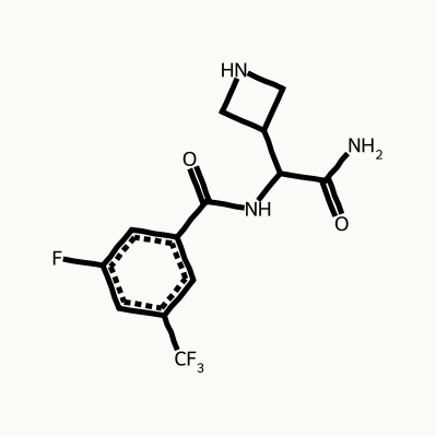 NC(=O)C(NC(=O)c1cc(F)cc(C(F)(F)F)c1)C1CNC1